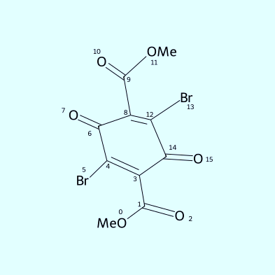 COC(=O)C1=C(Br)C(=O)C(C(=O)OC)=C(Br)C1=O